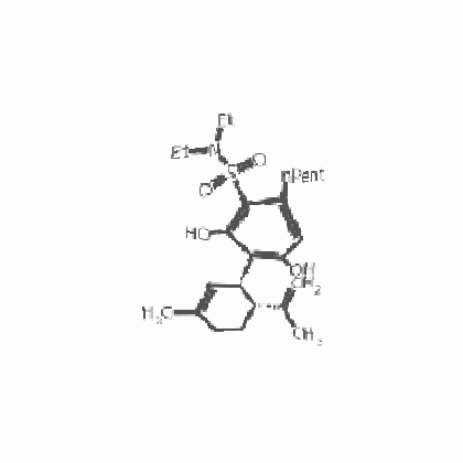 C=C(C)[C@@H]1CCC(C)=C[C@H]1c1c(O)cc(CCCCC)c(S(=O)(=O)N(CC)CC)c1O